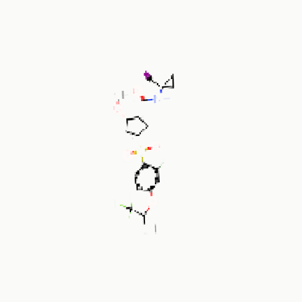 CO[C@@H]1C[C@H](S(=O)(=O)c2ccc(OC(C)C(F)(F)F)cc2Cl)C[C@H]1C(=O)NC1(C#I)CC1